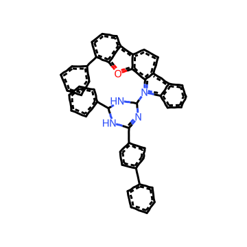 c1ccc(-c2ccc(C3=NC(n4c5ccccc5c5ccc6c7cccc(-c8ccccc8)c7oc6c54)NC(c4ccccc4)N3)cc2)cc1